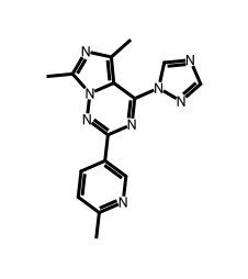 Cc1ccc(-c2nc(-n3cncn3)c3c(C)nc(C)n3n2)cn1